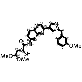 COc1cccc(Cn2cc(-c3cnc4ccc(NC(=O)N(S)CC(OC)OC)nc4n3)cn2)c1